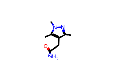 Cc1nn(C)c(C)c1[CH]C(N)=O